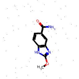 COc1nc2cc(C(N)=O)ccc2[nH]1